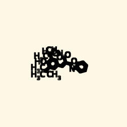 CCOC(=O)/C(=C\c1cc(C(C)(C)C)c(O)c(C(C)(C)C)c1)c1nc2ccccc2o1